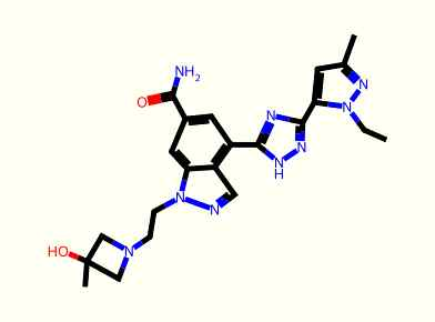 CCn1nc(C)cc1-c1n[nH]c(-c2cc(C(N)=O)cc3c2cnn3CCN2CC(C)(O)C2)n1